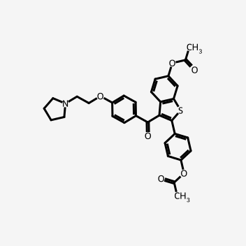 CC(=O)Oc1ccc(-c2sc3cc(OC(C)=O)ccc3c2C(=O)c2ccc(OCCN3CCCC3)cc2)cc1